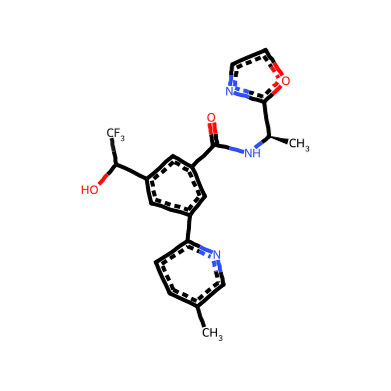 Cc1ccc(-c2cc(C(=O)N[C@H](C)c3ncco3)cc(C(O)C(F)(F)F)c2)nc1